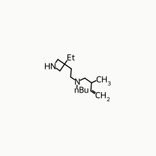 C=CC(C)CN(CCCC)CCC1(CC)CNC1